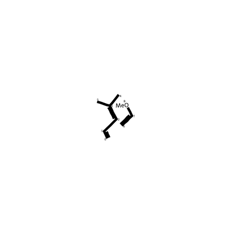 C=CC=C(C)C.C=COC